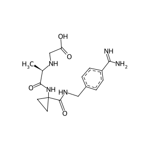 C[C@@H](NCC(=O)O)C(=O)NC1(C(=O)NCc2ccc(C(=N)N)cc2)CC1